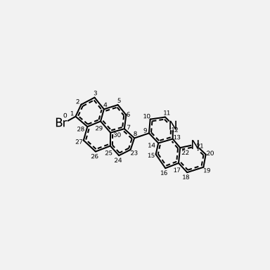 Brc1ccc2ccc3c(-c4ccnc5c4ccc4cccnc45)ccc4ccc1c2c43